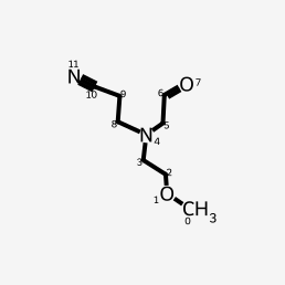 COCCN(CC=O)CCC#N